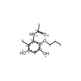 CCCOc1c(O)cc(O)c(C)c1NC(C)=O